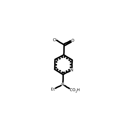 CCN(C(=O)O)c1ccc(C(=O)Cl)cn1